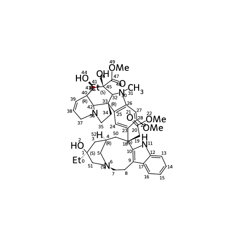 CC[C@]1(O)C[C@@H]2C[N@@](CCc3c([nH]c4ccccc34)[C@@](CC(=O)OC)(c3cc4c(cc3OC)N(C)C3[C@]45CCN4CC=C[C@](CC)(C45)[C@@H](O)[C@]3(O)C(=O)OC)C2)C1